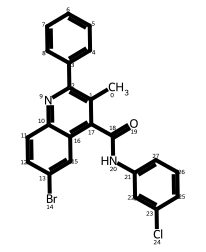 Cc1c(-c2ccccc2)nc2ccc(Br)cc2c1C(=O)Nc1[c]c(Cl)ccc1